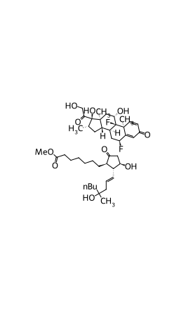 CCCCC(C)(O)C/C=C/[C@H]1[C@H](O)CC(=O)[C@@H]1CCCCCCC(=O)OC.C[C@H]1C[C@H]2[C@@H]3C[C@H](F)C4=CC(=O)C=C[C@]4(C)[C@@]3(F)[C@@H](O)C[C@]2(C)[C@@]1(O)C(=O)CO